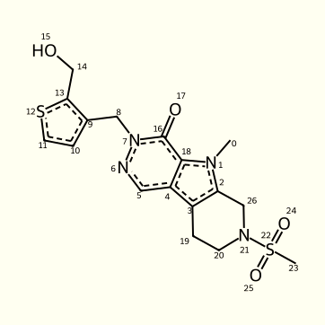 Cn1c2c(c3cnn(Cc4ccsc4CO)c(=O)c31)CCN(S(C)(=O)=O)C2